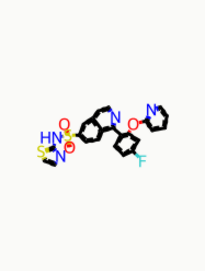 O=S(=O)(Nc1nccs1)c1ccc2c(-c3ccc(F)cc3Oc3ccccn3)nccc2c1